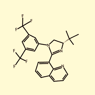 CC(C)(C)[C@H]1CN(c2cc(C(F)(F)F)cc(C(F)(F)F)c2)C(c2cccc3cccnc23)=N1